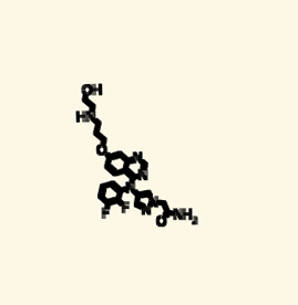 NC(=O)Cn1cc(N(c2cccc(F)c2F)c2ncnc3cc(OCCCNCCO)ccc23)cn1